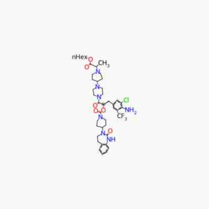 CCCCCCOC(=O)C(C)N1CCC(N2CCN(C(=O)[C@@H](Cc3cc(Cl)c(N)c(C(F)(F)F)c3)OC(=O)N3CCC(N4CCc5ccccc5NC4=O)CC3)CC2)CC1